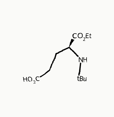 CCOC(=O)[C@H](CCC(=O)O)NC(C)(C)C